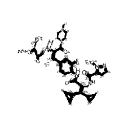 CC[C@H](OC)C(=O)N[C@@H](C(=O)N1CCN(C)CC1)[C@@H](C)c1ccc(NC(=O)[C@@H](NC(=O)c2ccnn2CC)C(C2CC2)C2CC2)c(F)c1